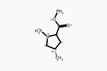 C[C@H]1CC(C(=O)OP)N(P)C1